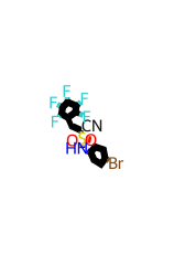 N#CC(=Cc1c(F)c(F)c(F)c(F)c1F)S(=O)(=O)Nc1ccc(Br)cc1